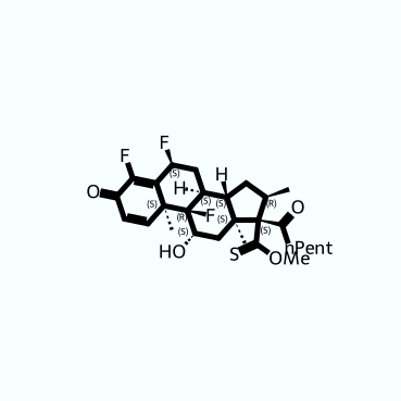 CCCCCC(=O)[C@]1(C(=S)OC)[C@H](C)C[C@H]2[C@@H]3C[C@H](F)C4=C(F)C(=O)C=C[C@]4(C)[C@@]3(F)[C@@H](O)C[C@@]21C